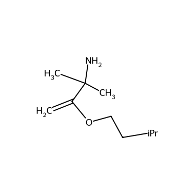 C=C(OCCC(C)C)C(C)(C)N